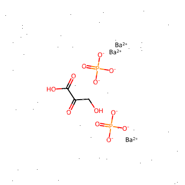 O=C(O)C(=O)CO.O=P([O-])([O-])[O-].O=P([O-])([O-])[O-].[Ba+2].[Ba+2].[Ba+2]